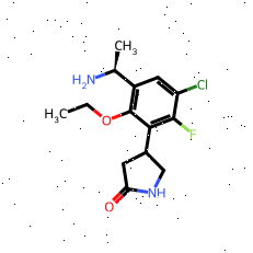 CCOc1c([C@H](C)N)cc(Cl)c(F)c1C1CNC(=O)C1